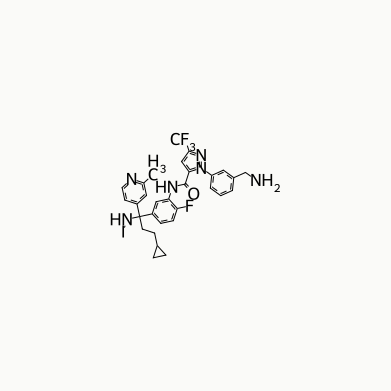 Cc1cc(C(CCC2CC2)(NI)c2ccc(F)c(NC(=O)c3cc(C(F)(F)F)nn3-c3cccc(CN)c3)c2)ccn1